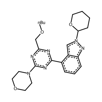 CCCCOCc1nc(-c2cccc3nn(C4CCCCO4)cc23)nc(N2CCOCC2)n1